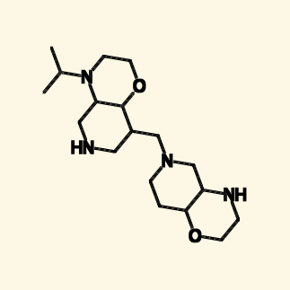 CC(C)N1CCOC2C(CN3CCC4OCCNC4C3)CNCC21